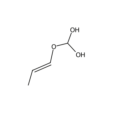 CC=COC(O)O